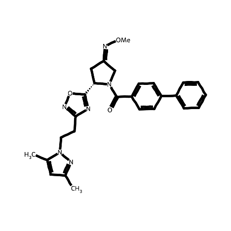 CON=C1C[C@@H](c2nc(CCn3nc(C)cc3C)no2)N(C(=O)c2ccc(-c3ccccc3)cc2)C1